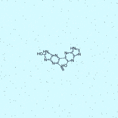 C#Cc1nc2nc(O)[nH]c2nc1-c1nc2[nH]cnc2nc1O